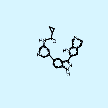 O=C(Nc1cncc(-c2ccc3[nH]nc(-c4cc5ccncc5[nH]4)c3c2)c1)C1CC1